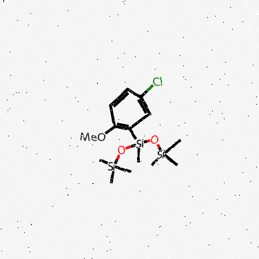 COc1ccc(Cl)cc1[Si](C)(O[Si](C)(C)C)O[Si](C)(C)C